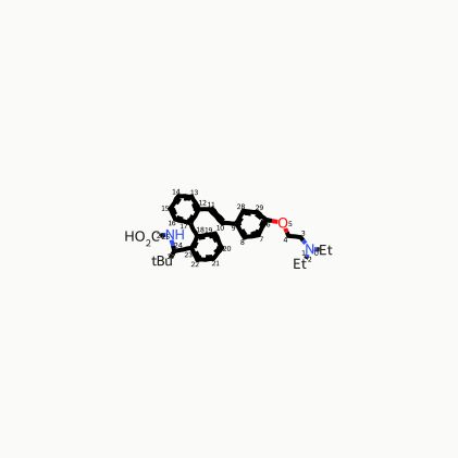 CCN(CC)CCOc1ccc(C=Cc2ccccc2-c2ccccc2C(NC(=O)O)C(C)(C)C)cc1